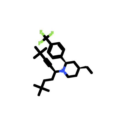 CC[C@@H]1CCN([C@H](C#CC(C)(C)C)CCC(C)(C)C)[C@H](c2ccc(C(F)(F)F)cc2)C1